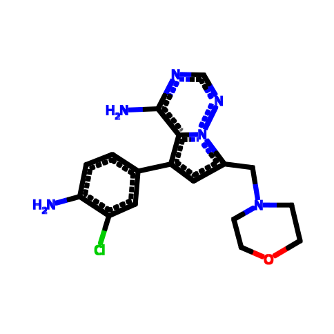 Nc1ccc(-c2cc(CN3CCOCC3)n3ncnc(N)c23)cc1Cl